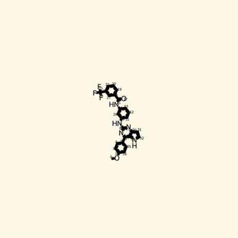 COc1ccc(-c2nc(Nc3cccc(NC(=O)c4cccc(C(F)(F)F)c4)c3)nc3cc[nH]c23)cc1